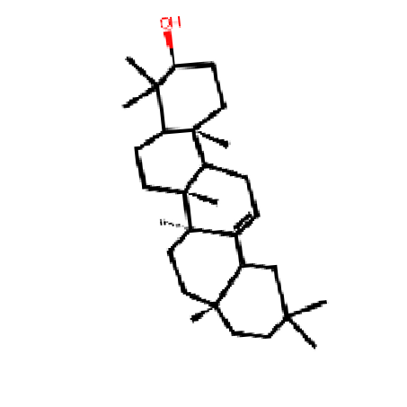 CC1(C)CC[C@]2(C)CC[C@]3(C)C(=CCC4[C@@]5(C)CC[C@H](O)C(C)(C)C5CC[C@]43C)C2C1